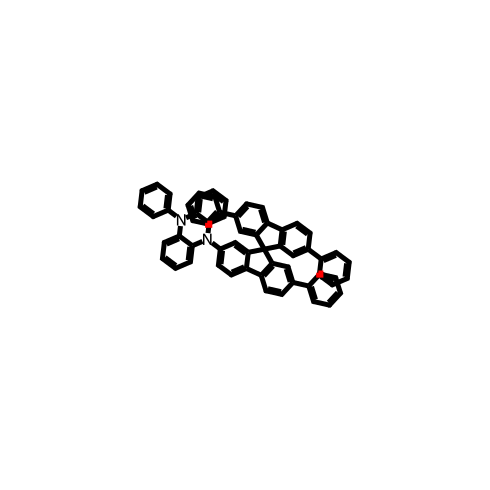 c1ccc(-c2ccc3c(c2)C2(c4cc(-c5ccccc5)ccc4-3)c3cc(-c4ccccc4)ccc3-c3ccc(N4c5ccccc5N(c5ccccc5)c5ccccc54)cc32)cc1